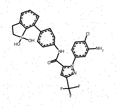 Nc1cc(-n2nc(C(F)(F)F)cc2C(=O)Nc2ccc(-c3cccc4c3S(O)(O)CC4)cc2)ccc1Cl